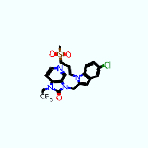 CS(=O)(=O)CCCn1c(Cn2c(=O)n(CC(F)(F)F)c3ccncc32)cc2cc(Cl)ccc21